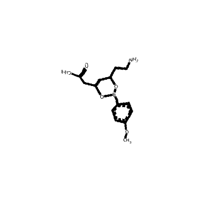 COc1ccc(B2OC(CCN)CC(CC(=O)O)O2)cc1